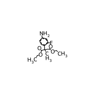 CCOC(=O)C(C)(C(=O)OCC)c1ccc(N)cc1F